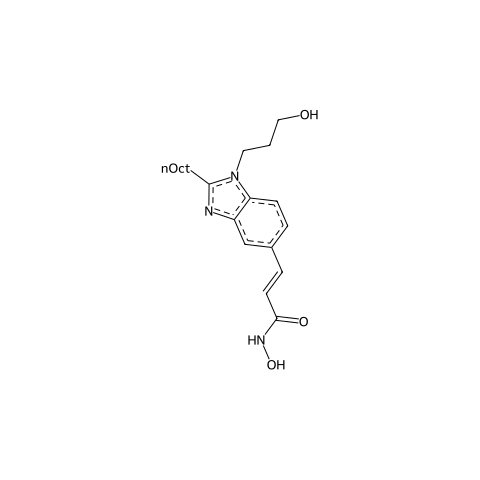 CCCCCCCCc1nc2cc(C=CC(=O)NO)ccc2n1CCCO